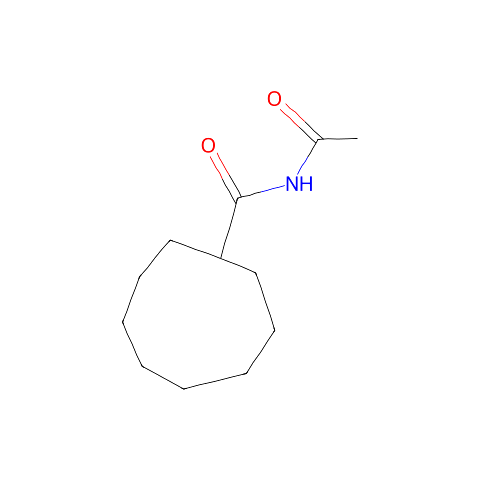 CC(=O)NC(=O)C1CCCCCCCC1